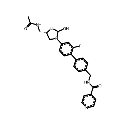 CC(=O)NC[C@H]1CN(c2ccc(-c3ccc(CNC(=O)c4ccncc4)cc3)c(F)c2)C(O)O1